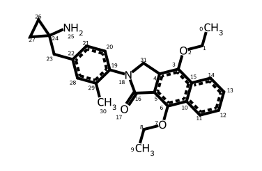 CCOc1c2c(c(OCC)c3ccccc13)C(=O)N(c1ccc(CC3(N)CC3)cc1C)C2